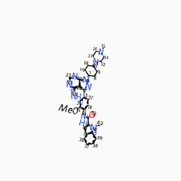 COc1cc(-c2nn(C3CCC(N4CCN(C)CC4)CC3)c3ncnc(N)c23)ccc1NC(=O)c1cc2ccccc2n1C